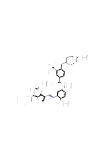 C=C(Nc1ccc(C)c(/C=C/c2csc3c(N)ncnc23)c1)c1ccc(CC2CCN(C)CC2)c(C(F)(F)F)c1